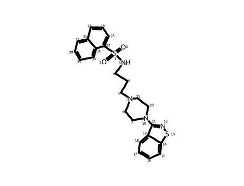 O=S(=O)(NCCCN1CCN(c2nsc3ccccc23)CC1)c1cccc2ccccc12